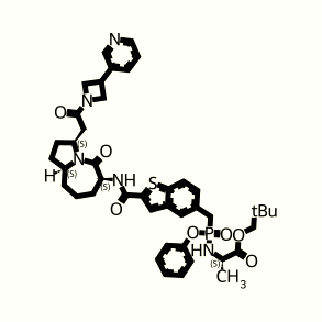 C[C@H](NP(=O)(Cc1ccc2sc(C(=O)N[C@H]3CCC[C@H]4CC[C@@H](CC(=O)N5CC(c6cccnc6)C5)N4C3=O)cc2c1)Oc1ccccc1)C(=O)OCC(C)(C)C